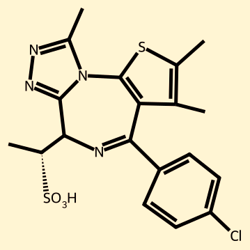 Cc1sc2c(c1C)C(c1ccc(Cl)cc1)=NC([C@@H](C)S(=O)(=O)O)c1nnc(C)n1-2